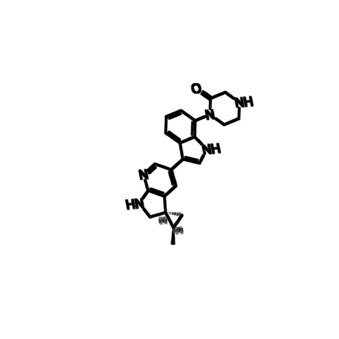 C[C@@H]1C[C@@]12CNc1ncc(-c3c[nH]c4c(N5CCNCC5=O)cccc34)cc12